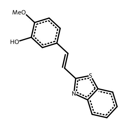 COc1ccc(C=Cc2nc3ccccc3s2)cc1O